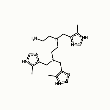 Cc1[nH]cnc1CN(CCN)CCN(Cc1nc[nH]c1C)Cc1nc[nH]c1C